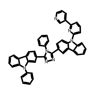 c1ccc(-n2c(-c3ccc4c(c3)c3ccccc3n4-c3cccc(-c4cccnc4)n3)nnc2-c2ccc3c4ccccc4n(-c4ccccc4)c3c2)cc1